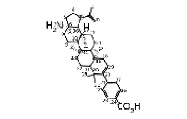 C=C(C)[C@@H]1CC[C@]2(N)CC[C@]3(C)[C@H](CCC4[C@@]5(C)CC=C(c6ccc(C(=O)O)cc6)C(C)(C)C5CC[C@]43C)C12